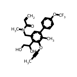 C=CC(=O)N(C)Cc1cc(-c2ccc(OC(F)(F)F)cc2)c(C)c(OC#CC)c1C(O)CO